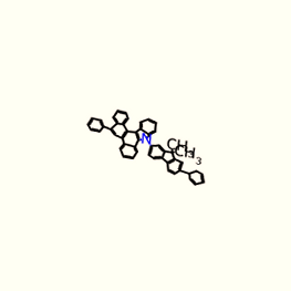 CC1(C)c2cc(C3C=CC=CC3)ccc2-c2ccc(-n3c4ccccc4c4c5c6ccccc6c(-c6ccccc6)cc5c5ccccc5c43)cc21